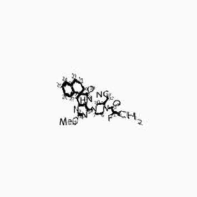 C=C(F)C(=O)N1CCN(c2nc(OC)nc3c2NC(=O)C2(CCCc4ccccc42)C3)CC1CC#N